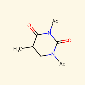 CC(=O)N1CC(C)C(=O)N(C(C)=O)C1=O